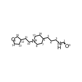 O=CNCCCC1CCN(CCC2CCOC2)CC1